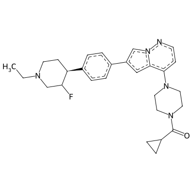 CCN1CC[C@@H](c2ccc(-c3cc4c(N5CCN(C(=O)C6CC6)CC5)ccnn4c3)cc2)C(F)C1